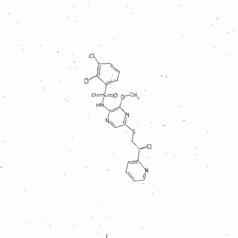 COc1nc(SCC(Cl)c2ccccn2)cnc1NS(=O)(=O)c1cccc(Cl)c1Cl